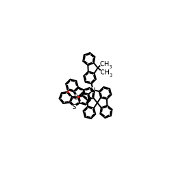 CC1(C)c2ccccc2-c2ccc(N(c3ccc4sc5ccccc5c4c3)c3cccc4c3C3(c5ccccc5-4)c4ccccc4-c4c3ccc3c4oc4ccccc43)cc21